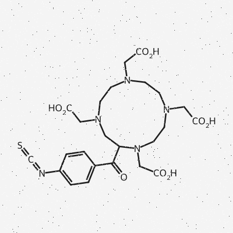 O=C(O)CN1CCN(CC(=O)O)CCN(CC(=O)O)C(C(=O)c2ccc(N=C=S)cc2)CN(CC(=O)O)CC1